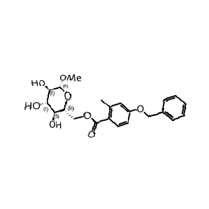 CO[C@@H]1O[C@H](COC(=O)c2ccc(OCc3ccccc3)cc2C)[C@@H](O)[C@H](O)[C@H]1O